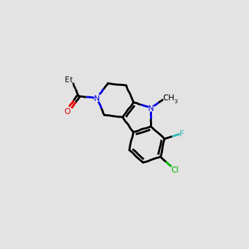 CCC(=O)N1CCc2c(c3ccc(Cl)c(F)c3n2C)C1